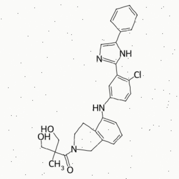 CC(CO)(CO)C(=O)N1CCc2c(cccc2Nc2ccc(Cl)c(-c3ncc(-c4ccccc4)[nH]3)c2)C1